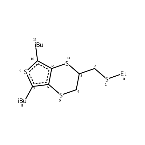 CCSCC1CSc2c(C(C)CC)sc(C(C)CC)c2S1